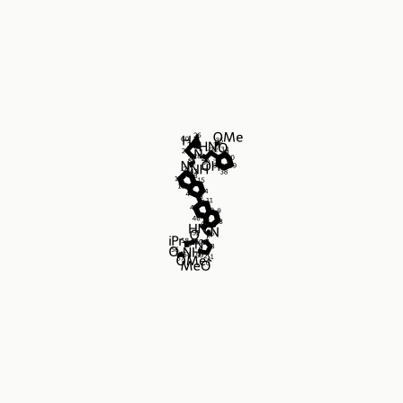 COC[C@H]1C[C@@H](c2nc3ccc4cc(-c5ccc6c(ccc7nc([C@@H]8C[C@H]9CC9N8[C@H](O)[C@H](NC(=O)OC)c8ccccc8)[nH]c76)c5)ccc4c3[nH]2)N(C(=O)[C@@H](NC(=O)OC)C(C)C)C1